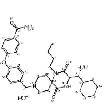 CCCCN1C(=O)[C@@H]([C@H](O)C2CCCCC2)NC(=O)C12CCN(Cc1ccc(Oc3ccc(C(N)=O)cc3)cc1)CC2.Cl